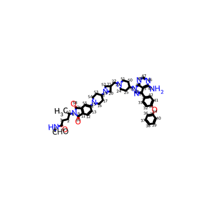 CC(CCC(=O)NC=O)N1C(=O)c2ccc(N3CCC(N4CC(CN5CCC(n6nc(-c7ccc(Oc8ccccc8)cc7)c7c(N)ncnc76)CC5)C4)CC3)cc2C1=O